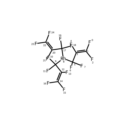 FC(F)=C(F)[C](F)(F)[Rh]([C](F)(F)C(F)=C(F)F)[C](F)(F)C(F)=C(F)F